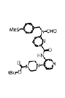 CSc1ccc(CN(C=O)c2cccc(C(=O)Nc3cnccc3N3CCN(C(=O)OC(C)(C)C)CC3)n2)cc1